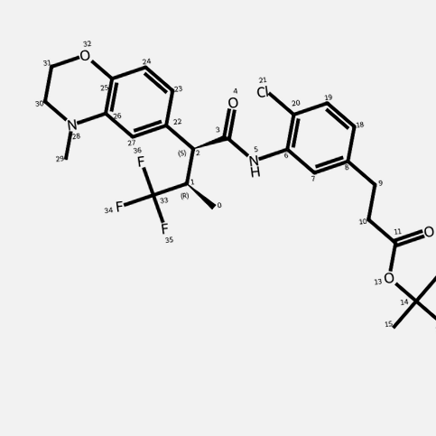 C[C@H]([C@H](C(=O)Nc1cc(CCC(=O)OC(C)(C)C)ccc1Cl)c1ccc2c(c1)N(C)CCO2)C(F)(F)F